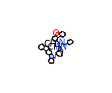 CC1(C)c2ccccc2-c2cc3c4ccccc4n(-c4cccc(-c5nc(-c6ccccc6)nc(-c6cccc7oc8ccccc8c67)n5)c4)c3cc21